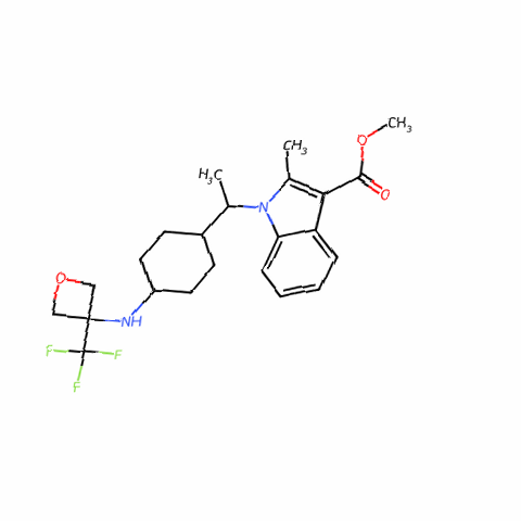 COC(=O)c1c(C)n(C(C)C2CCC(NC3(C(F)(F)F)COC3)CC2)c2ccccc12